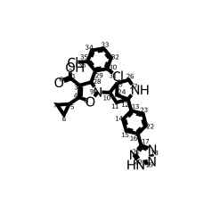 O=C(O)C1=C(C2CC2)ON(C2CC3(c4ccc(-c5nn[nH]n5)cc4)CC2CN3)C1c1c(Cl)cccc1Cl